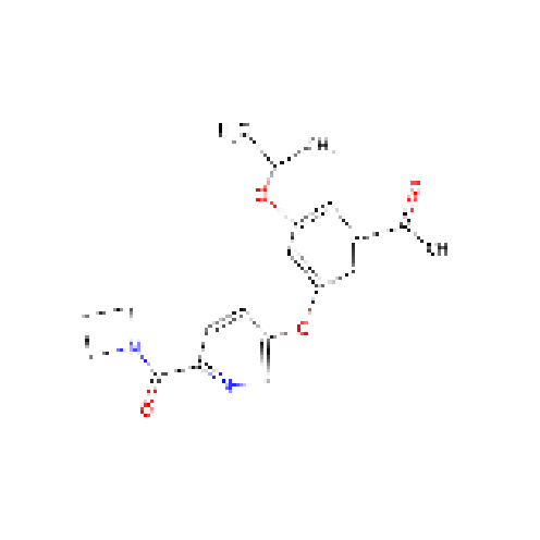 CC(=O)c1cc(Oc2ccc(C(=O)N3CCC3)nc2)cc(OC(C)C)c1